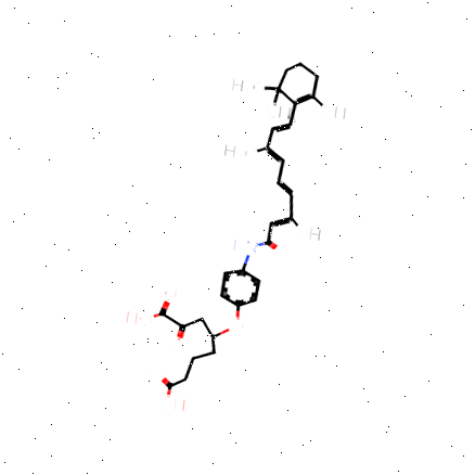 CC(C=CC1=C(C)CCCC1(C)C)=CC=CC(C)=CC(=O)Nc1ccc(OC(CCCC(=O)O)CC(=O)C(=O)O)cc1